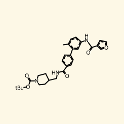 Cc1ccc(NC(=O)c2ccoc2)cc1-c1ccc(C(=O)NCC2CCN(C(=O)OC(C)(C)C)CC2)cc1